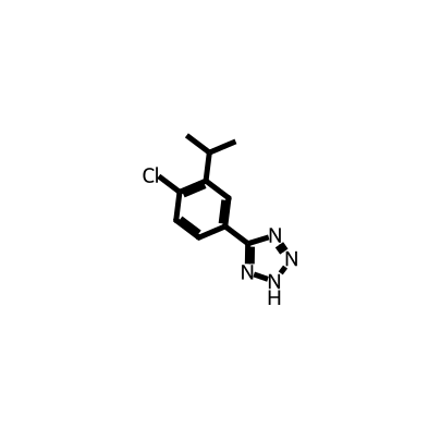 CC(C)c1cc(-c2nn[nH]n2)ccc1Cl